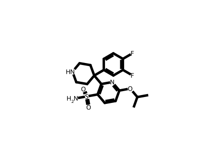 CC(C)Oc1ccc(S(N)(=O)=O)c(C2(c3ccc(F)c(F)c3)CCNCC2)n1